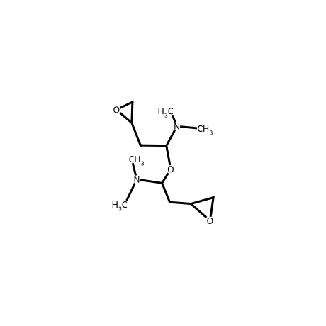 CN(C)C(CC1CO1)OC(CC1CO1)N(C)C